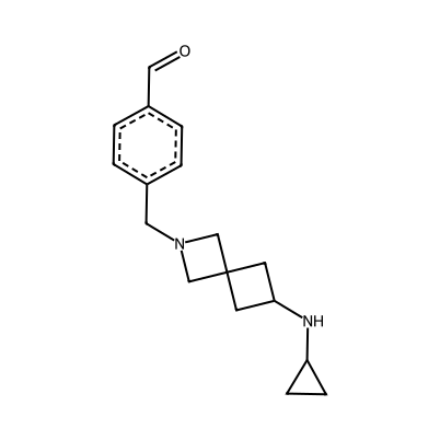 O=Cc1ccc(CN2CC3(CC(NC4CC4)C3)C2)cc1